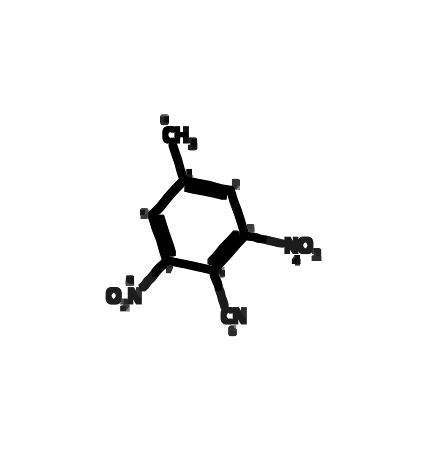 Cc1cc([N+](=O)[O-])c(C#N)c([N+](=O)[O-])c1